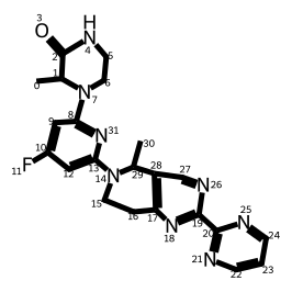 CC1C(=O)NCCN1c1cc(F)cc(N2CCc3nc(-c4ncccn4)ncc3C2C)n1